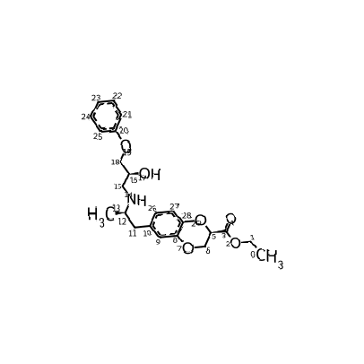 CCOC(=O)[C@H]1COc2cc(C[C@@H](C)NC[C@H](O)COc3ccccc3)ccc2O1